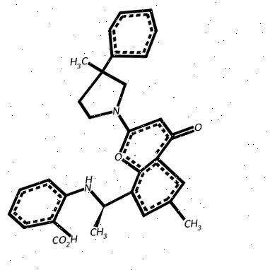 Cc1cc([C@@H](C)Nc2ccccc2C(=O)O)c2oc(N3CCC(C)(c4ccccc4)C3)cc(=O)c2c1